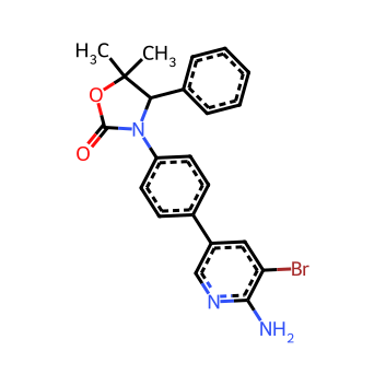 CC1(C)OC(=O)N(c2ccc(-c3cnc(N)c(Br)c3)cc2)C1c1ccccc1